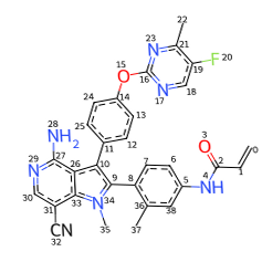 C=CC(=O)Nc1ccc(-c2c(-c3ccc(Oc4ncc(F)c(C)n4)cc3)c3c(N)ncc(C#N)c3n2C)c(C)c1